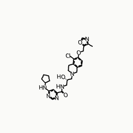 Cc1ncoc1COc1ccc2c(c1Cl)CCN(C[C@@H](O)CNC(=O)c1cc(NC3CCCC3)ncn1)C2